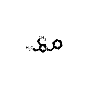 C=Cc1cn(Cc2ccccc2)cc1C=C